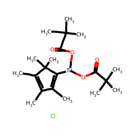 CC1=C(C)C(C)(C)[C]([Ti+]([O]C(=O)C(C)(C)C)[O]C(=O)C(C)(C)C)=C1C.[Cl-]